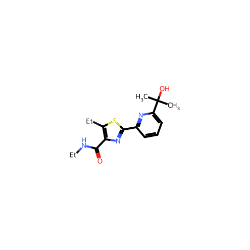 CCNC(=O)c1nc(-c2cccc(C(C)(C)O)n2)sc1CC